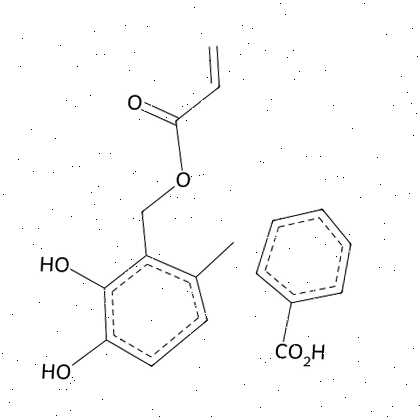 C=CC(=O)OCc1c(C)ccc(O)c1O.O=C(O)c1ccccc1